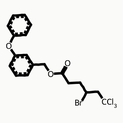 O=C(CCC(Br)CC(Cl)(Cl)Cl)OCc1cccc(Oc2ccccc2)c1